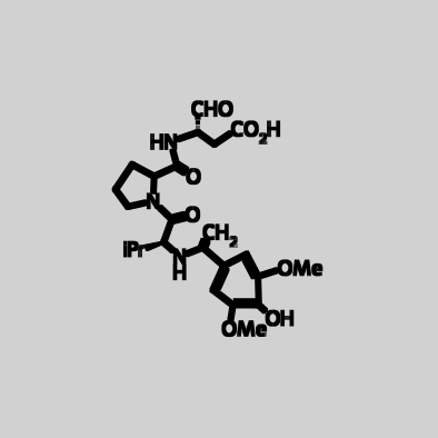 C=C(N[C@H](C(=O)N1CCCC1C(=O)N[C@H](C=O)CC(=O)O)C(C)C)c1cc(OC)c(O)c(OC)c1